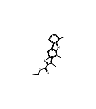 CCOC(=O)C1=Nc2cc3c(c(C)c2=C1C)N=c1c(C)cccc1=3